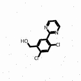 OCc1cc(-c2ncccn2)c(Cl)cc1Cl